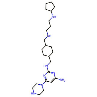 Nc1cc(N2CCNCC2)nc(NCC2CCC(CNCCCNC3CCCC3)CC2)n1